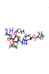 COc1cc(-c2cnc3cc(OCC4CC(F)(F)C4)ccn23)cc(OC(F)F)c1C(=O)NC1CC1